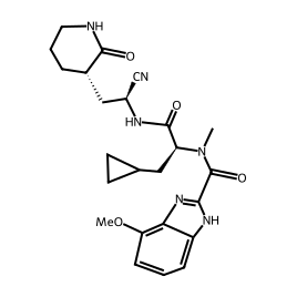 COc1cccc2[nH]c(C(=O)N(C)[C@@H](CC3CC3)C(=O)N[C@H](C#N)C[C@@H]3CCCNC3=O)nc12